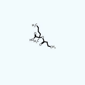 CCCC[C@@](C)(OC(=O)CCC)C(=O)O